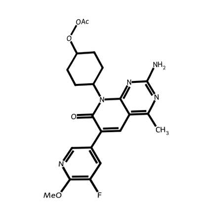 COc1ncc(-c2cc3c(C)nc(N)nc3n(C3CCC(OOC(C)=O)CC3)c2=O)cc1F